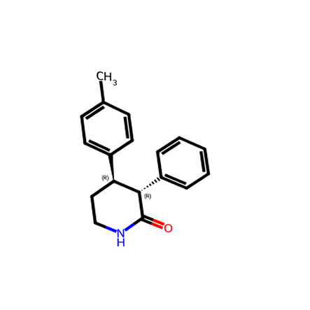 Cc1ccc([C@@H]2CCNC(=O)[C@H]2c2ccccc2)cc1